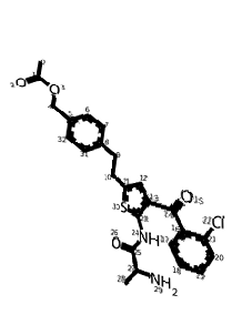 CC(=O)OCc1ccc(CCc2cc(C(=O)c3ccccc3Cl)c(NC(=O)C(C)N)s2)cc1